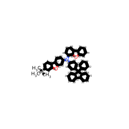 C[Si](C)(C)c1ccc2c(c1)oc1cc(N(c3ccc(C4(c5ccccc5)c5ccccc5-c5ccccc54)cc3)c3cccc4c3oc3ccccc34)ccc12